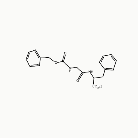 CCOC(=O)[C@H](Cc1ccccc1)NC(=O)CNC(=O)OCc1ccccc1